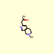 CC(C)C(=O)Cc1cc2c(cn1)CN(C(C)C)CC2